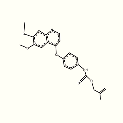 C=C(C)COC(=O)Nc1ccc(Oc2ccnc3cc(OC)c(OC)cc23)cc1